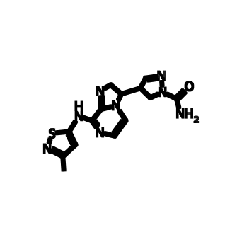 Cc1cc(NC2=NC=CN3C2=NCC3C2C=NN(C(N)=O)C2)sn1